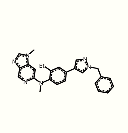 CCc1cc(-c2cnn(Cc3ccccc3)c2)ccc1N(C)c1cc2c(cn1)ncn2C